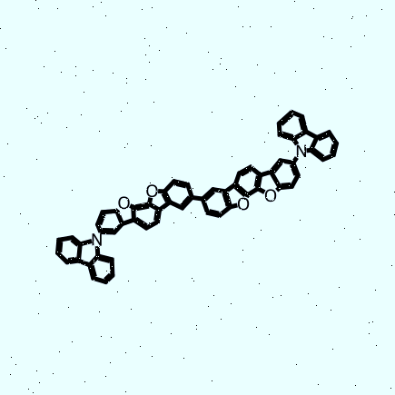 C1=CC2Oc3c(ccc4c3oc3ccc(-c5ccc6oc7c(ccc8c9cc(-n%10c%11ccccc%11c%11ccccc%11%10)ccc9oc87)c6c5)cc34)C2C=C1n1c2ccccc2c2ccccc21